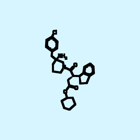 N[C@@]1(Cc2ccc(Cl)cc2)CCCN(C(=O)[C@@H](CC(=O)OC2CCCCC2)[C@@H]2CCc3ccccc32)C1